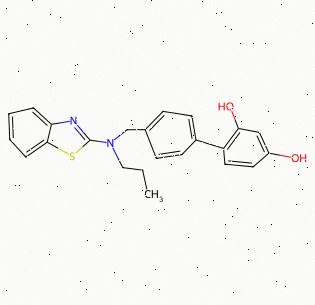 CCCN(Cc1ccc(-c2ccc(O)cc2O)cc1)c1nc2ccccc2s1